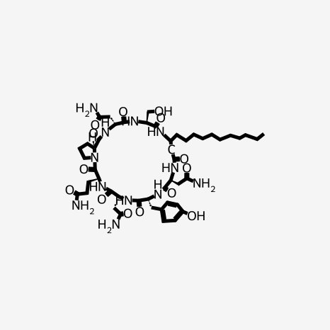 CCCCCCCCCCCC1CC(=O)N[C@@H](CC(N)=O)C(=O)N[C@H](Cc2ccc(O)cc2)C(=O)N[C@H](CC(N)=O)C(=O)N[C@@H](CCC(N)=O)C(=O)N2CCC[C@H]2C(=O)N[C@H](CC(N)=O)C(=O)N[C@@H](CO)C(=O)N1